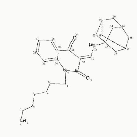 CCCCCCCN1C(=O)/C(=C/NC23CC4CC(CC(C4)C2)C3)C(=O)c2ccccc21